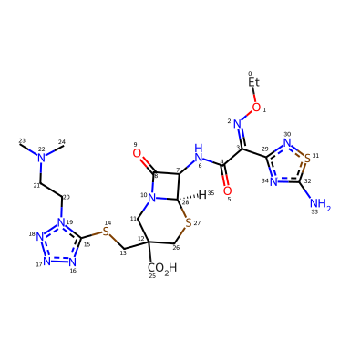 CCON=C(C(=O)NC1C(=O)N2CC(CSc3nnnn3CCN(C)C)(C(=O)O)CS[C@H]12)c1nsc(N)n1